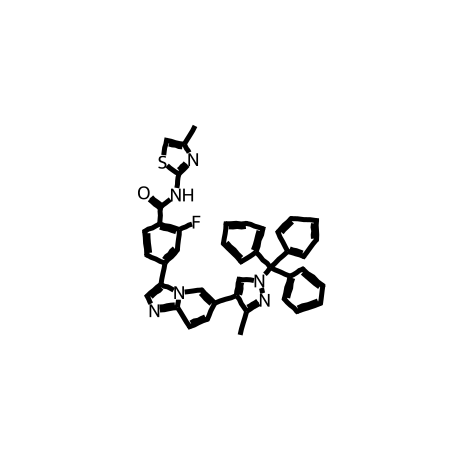 Cc1csc(NC(=O)c2ccc(-c3cnc4ccc(-c5cn(C(c6ccccc6)(c6ccccc6)c6ccccc6)nc5C)cn34)cc2F)n1